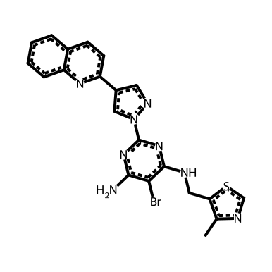 Cc1ncsc1CNc1nc(-n2cc(-c3ccc4ccccc4n3)cn2)nc(N)c1Br